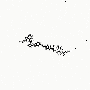 COC(=O)N[C@H](C(=O)N1CCC[C@H]1c1ncc(-c2cc3sc(C#Cc4ccc5[nH]c(C6CCCN6C(=O)[C@H](NC(=O)OC)c6ccccc6)nc5c4)cc3s2)[nH]1)C(C)C